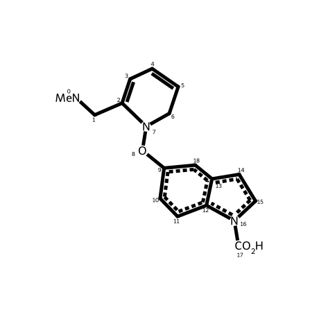 CNCC1=CC=CCN1Oc1ccc2c(ccn2C(=O)O)c1